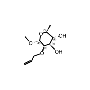 C=CCO[C@H]1[C@H](OC)O[C@@H](C)[C@H](O)[C@H]1O